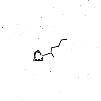 CCCCC(C)n1ccnc1